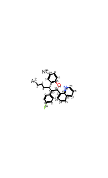 CC(=O)CCCC[C@H](c1ccc(F)cc1)[C@H](Oc1ccc(C#N)cc1)c1cccc2cccnc12